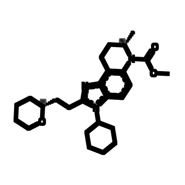 COC(=O)N1c2ccc3c(nc(CC[C@H]4CCCCO4)n3C3CCCCC3)c2CC[C@@H]1C